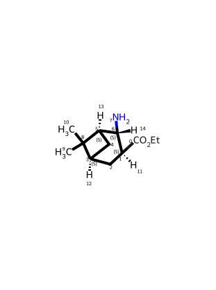 CCOC(=O)[C@H]1C[C@@H]2C[C@H]([C@@H]1N)C2(C)C